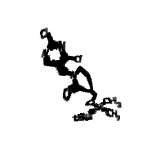 CC(C)(C)[Si](C)(C)OCC1CCN(Cc2cnc(Cl)nc2Cl)C1=O